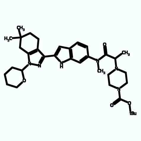 CC(C(=O)N(C)c1ccc2cc(-c3nn(C4CCCCO4)c4c3CCC(C)(C)C4)[nH]c2c1)N1CCN(C(=O)OC(C)(C)C)CC1